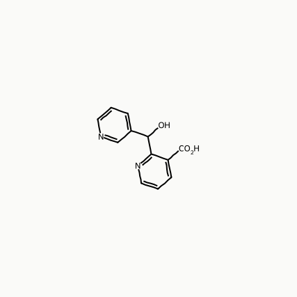 O=C(O)c1cccnc1C(O)c1cccnc1